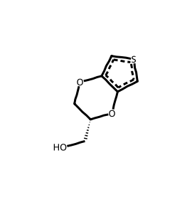 OC[C@@H]1COc2cscc2O1